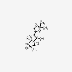 CC1(C)C[C@H]2[C@H](O[C@H]([C@H]3COC(C)(C)O3)[C@@H]2O)O1